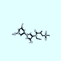 CCN(C(=O)C(C)CS(C)(=O)=O)c1cn(-c2cc(F)c[n+](O)c2)nc1Cl